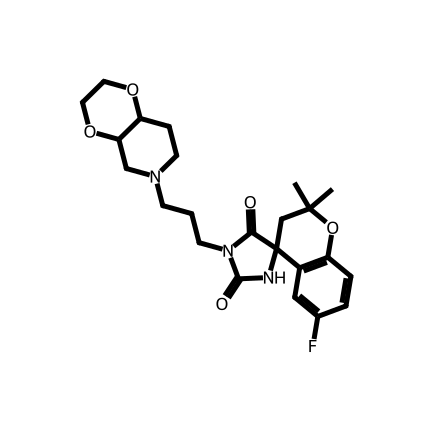 CC1(C)CC2(NC(=O)N(CCCN3CCC4OCCOC4C3)C2=O)c2cc(F)ccc2O1